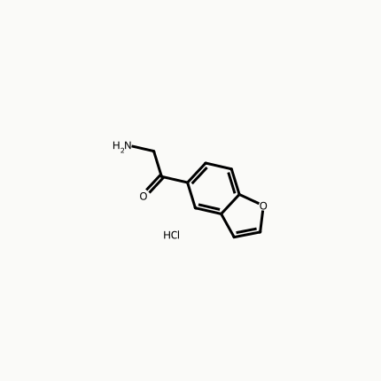 Cl.NCC(=O)c1ccc2occc2c1